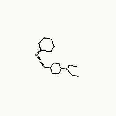 CCN(CC)C1CCC(N=C=NC2CCCCC2)CC1